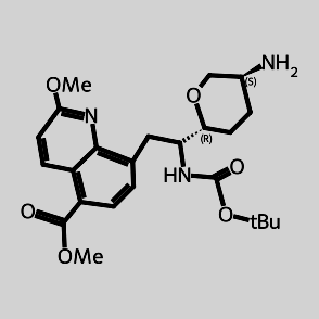 COC(=O)c1ccc(CC(NC(=O)OC(C)(C)C)[C@H]2CC[C@H](N)CO2)c2nc(OC)ccc12